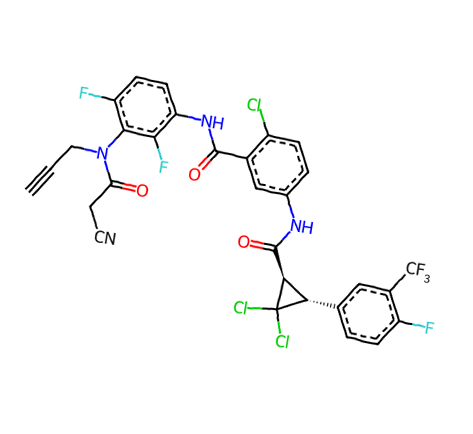 C#CCN(C(=O)CC#N)c1c(F)ccc(NC(=O)c2cc(NC(=O)[C@H]3[C@H](c4ccc(F)c(C(F)(F)F)c4)C3(Cl)Cl)ccc2Cl)c1F